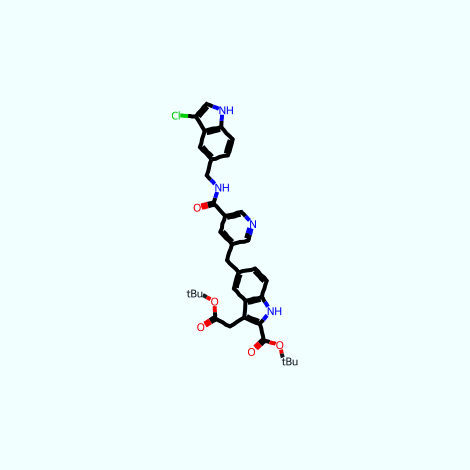 CC(C)(C)OC(=O)Cc1c(C(=O)OC(C)(C)C)[nH]c2ccc(Cc3cncc(C(=O)NCc4ccc5[nH]cc(Cl)c5c4)c3)cc12